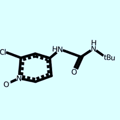 CC(C)(C)NC(=O)Nc1cc[n+]([O-])c(Cl)c1